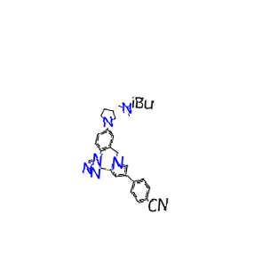 CC[C@H](C)N(C)C[C@H]1CCN(c2ccc3c(c2)Cn2cc(-c4ccc(C#N)cc4)cc2-c2nncn2-3)C1